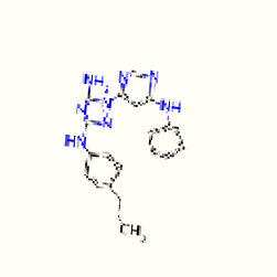 CCCc1ccc(Nc2nc(N)n(-c3cc(Nc4ccccc4)ncn3)n2)cc1